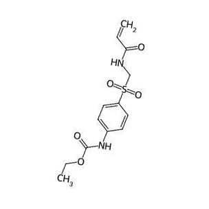 C=CC(=O)NCS(=O)(=O)c1ccc(NC(=O)OCC)cc1